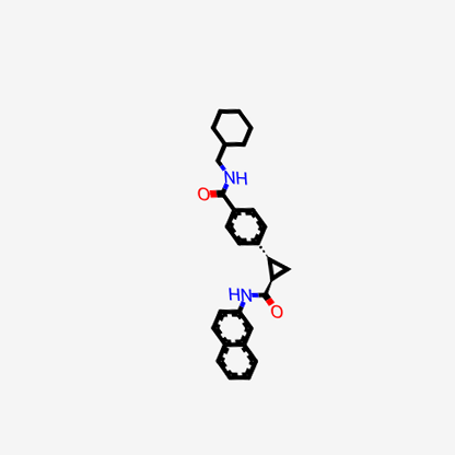 O=C(NCC1CCCCC1)c1ccc([C@@H]2C[C@H]2C(=O)Nc2ccc3ccccc3c2)cc1